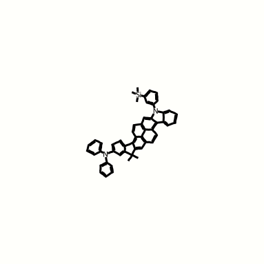 CC1(C)c2cc(N(c3ccccc3)c3ccccc3)ccc2-c2c1cc1ccc3c4c(ccc2c14)cc1c3c2ccccc2n1-c1cccc([Si](C)(C)C)c1